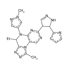 CCC1c2nnc(C)n2-c2cnc(C3C=NNC3c3nccs3)nc2N1c1cnn(C)c1